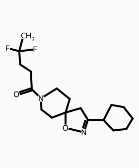 CC(F)(F)CCC(=O)N1CCC2(CC1)CC(C1CCCCC1)=NO2